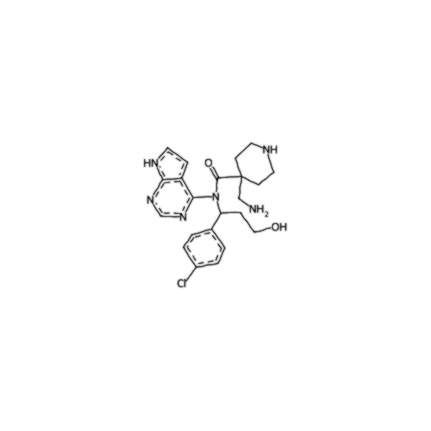 NCC1(C(=O)N(c2ncnc3[nH]ccc23)C(CCO)c2ccc(Cl)cc2)CCNCC1